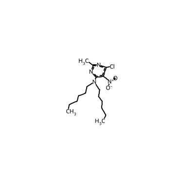 CCCCCCN(CCCCCC)c1nc(C)nc(Cl)c1[N+](=O)[O-]